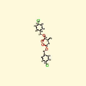 C=C(CC(=O)OCc1ccc(Cl)cc1)C(=O)OCc1ccc(Cl)cc1